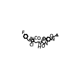 CCOC(=O)c1nn(Cc2ccc(F)cc2)c(Cl)c1CCN[C@H]1COc2cc3oc(C4CC4)nc3cc2N(C)C1=O